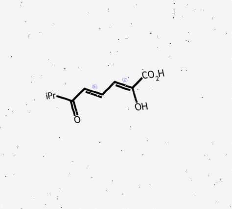 CC(C)C(=O)/C=C/C=C(\O)C(=O)O